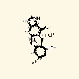 Cl.Nc1nc2nc[nH]c2c(=O)n1Cc1c(F)cc(F)cc1F